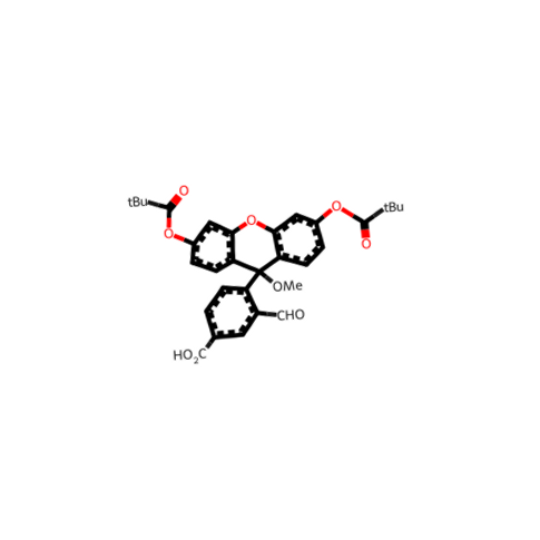 COC1(c2ccc(C(=O)O)cc2C=O)c2ccc(OC(=O)C(C)(C)C)cc2Oc2cc(OC(=O)C(C)(C)C)ccc21